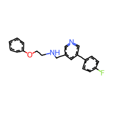 Fc1ccc(-c2cncc(CNCCOc3ccccc3)c2)cc1